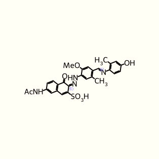 COc1cc(/C=N/c2ccc(O)cc2C)c(C)cc1N/N=C1\C(=O)c2ccc(NC(C)=O)cc2C=C1S(=O)(=O)O